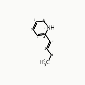 CC/C=C/C1=CC=CCN1